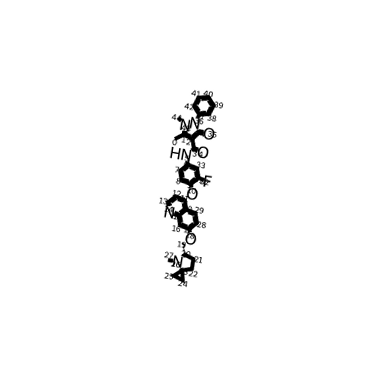 Cc1c(C(=O)Nc2ccc(Oc3ccnc4cc(OC[C@@H]5CCC6(CC6)N5C)ccc34)c(F)c2)c(=O)n(-c2ccccc2)n1C